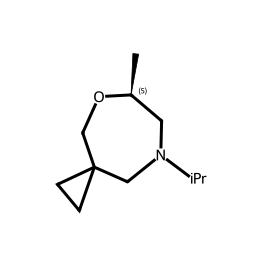 CC(C)N1C[C@H](C)OCC2(CC2)C1